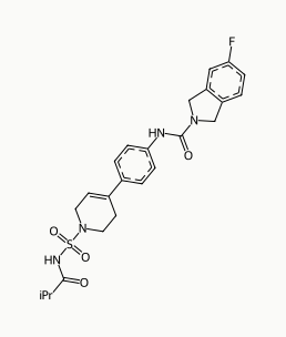 CC(C)C(=O)NS(=O)(=O)N1CC=C(c2ccc(NC(=O)N3Cc4ccc(F)cc4C3)cc2)CC1